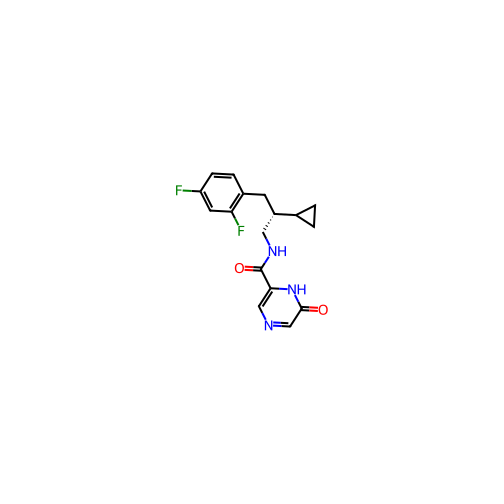 O=C(NC[C@H](Cc1ccc(F)cc1F)C1CC1)c1cncc(=O)[nH]1